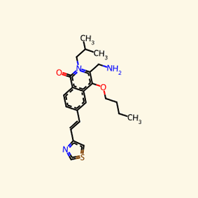 CCCCOc1c(CN)n(CC(C)C)c(=O)c2ccc(C=Cc3cscn3)cc12